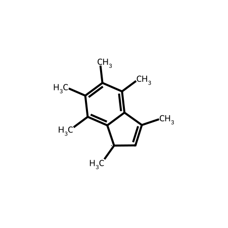 C[C]1C=C(C)c2c(C)c(C)c(C)c(C)c21